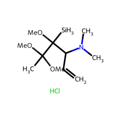 C=CC(N(C)C)C([SiH3])(OC)C(C)(OC)OC.Cl